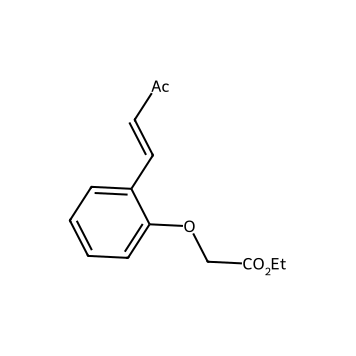 CCOC(=O)COc1ccccc1C=CC(C)=O